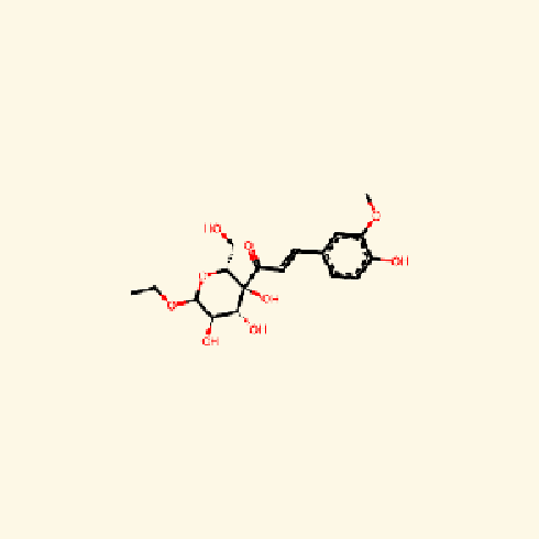 CCOC1O[C@H](CO)[C@](O)(C(=O)/C=C/c2ccc(O)c(OC)c2)[C@H](O)[C@H]1O